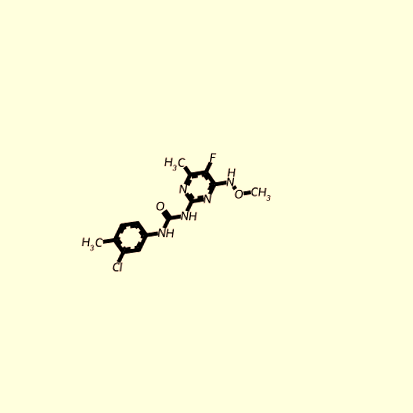 CONc1nc(NC(=O)Nc2ccc(C)c(Cl)c2)nc(C)c1F